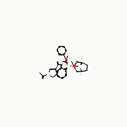 CC(=O)N1CCC(C(=O)N[C@@H](CCN2[C@@H]3CC[C@H]2C[C@@H](n2c(C)nc4ccccc42)C3)c2ccccc2)C1